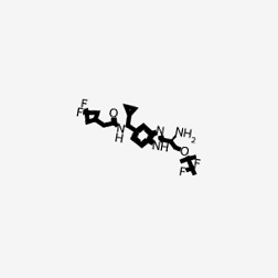 CC(F)(F)C(C)(C)OC[C@H](N)c1nc2cc([C@H](NC(=O)CC3CC(F)(F)C3)C3CC3)ccc2[nH]1